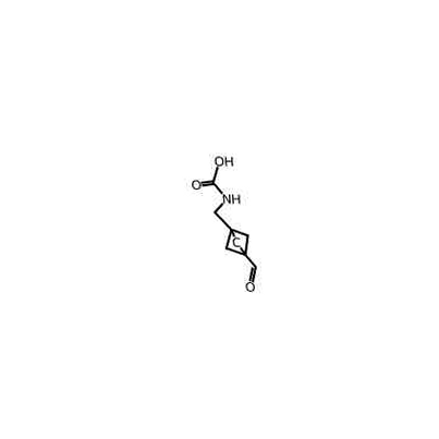 O=CC12CC(CNC(=O)O)(C1)C2